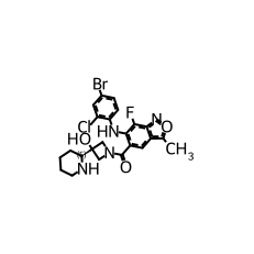 Cc1onc2c(F)c(Nc3ccc(Br)cc3Cl)c(C(=O)N3CC(O)([C@@H]4CCCCN4)C3)cc12